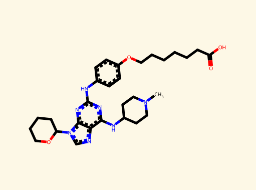 CN1CCC(Nc2nc(Nc3ccc(OCCCCCCC(=O)O)cc3)nc3c2ncn3C2CCCCO2)CC1